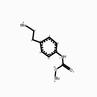 CC(C)(C)CCc1ccc(NC(=O)OC(C)(C)C)cc1